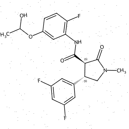 CC(O)Oc1ccc(F)c(NC(=O)[C@H]2C(=O)N(C)C[C@@H]2c2cc(F)cc(F)c2)c1